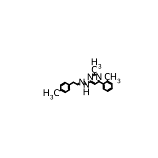 Cc1ccc(CC=NNc2cc(-c3ccccc3C)nc(C)n2)cc1